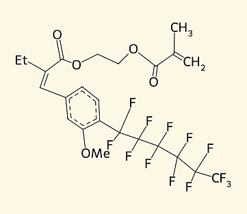 C=C(C)C(=O)OCCOC(=O)C(=Cc1ccc(C(F)(F)C(F)(F)C(F)(F)C(F)(F)C(F)(F)C(F)(F)F)c(OC)c1)CC